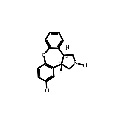 Clc1ccc2c(c1)[C@H]1CN(Cl)C[C@@H]1c1ccccc1O2